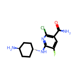 NC(=O)c1cc(F)c(N[C@H]2CC[C@H](N)CC2)nc1Cl